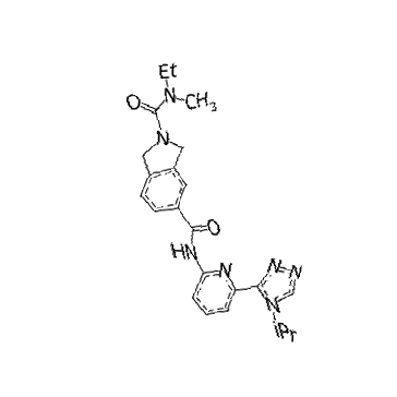 CCN(C)C(=O)N1Cc2ccc(C(=O)Nc3cccc(-c4nncn4C(C)C)n3)cc2C1